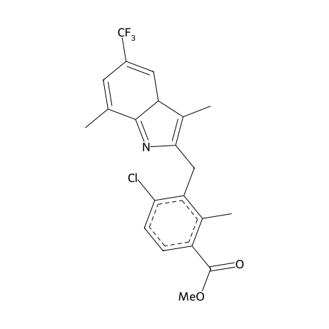 COC(=O)c1ccc(Cl)c(CC2=C(C)C3C=C(C(F)(F)F)C=C(C)C3=N2)c1C